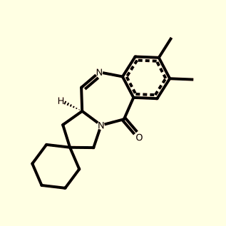 Cc1cc2c(cc1C)C(=O)N1CC3(CCCCC3)C[C@H]1C=N2